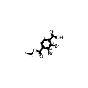 CCOC(=O)c1ccc(C(=O)O)c(Br)c1Br